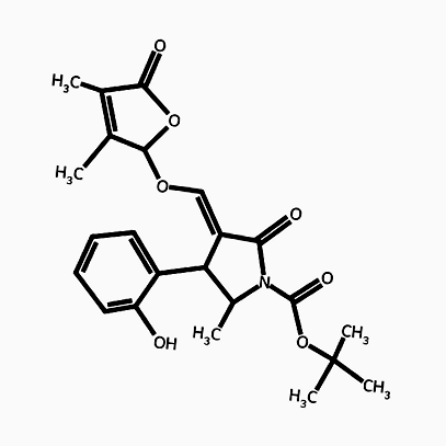 CC1=C(C)C(O/C=C2/C(=O)N(C(=O)OC(C)(C)C)C(C)C2c2ccccc2O)OC1=O